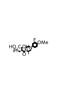 COc1ccc(N2CCN(C(=O)[C@@H](CC(C)C)[C@H](O)C(=O)O)[C@H](C)C2)cc1F